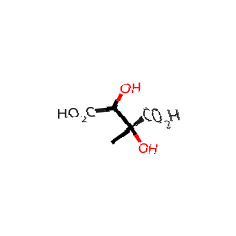 C[C@](O)(C(=O)O)C(O)C(=O)O